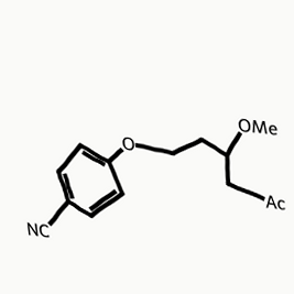 COC(CCOc1ccc(C#N)cc1)CC(C)=O